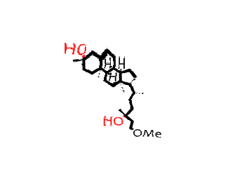 COCC[C@](C)(O)CC[C@@H](C)[C@H]1CC[C@H]2[C@@H]3CC=C4C[C@@](C)(O)CC[C@]4(C)[C@H]3CC[C@]12C